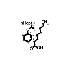 CCCCCCCC(=O)O.CCCCCCCC(=O)Oc1ccccc1